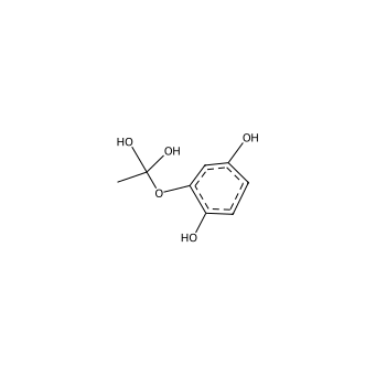 CC(O)(O)Oc1cc(O)ccc1O